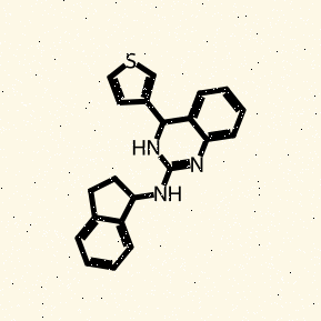 c1ccc2c(c1)CCC2NC1=Nc2ccccc2C(c2ccsc2)N1